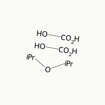 CC(C)OC(C)C.O=C(O)O.O=C(O)O